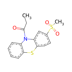 CCC(=O)N1c2ccccc2Sc2ccc(S(C)(=O)=O)cc21